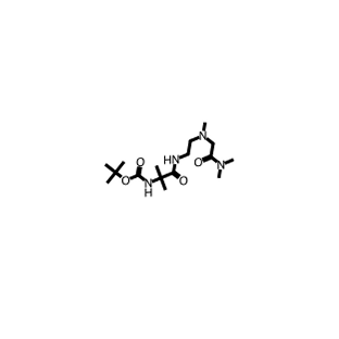 CN(CCNC(=O)C(C)(C)NC(=O)OC(C)(C)C)CC(=O)N(C)C